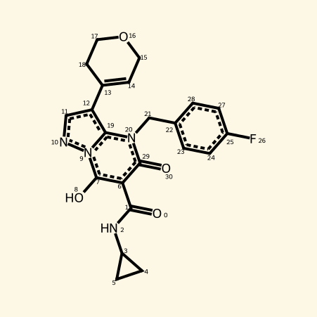 O=C(NC1CC1)c1c(O)n2ncc(C3=CCOCC3)c2n(Cc2ccc(F)cc2)c1=O